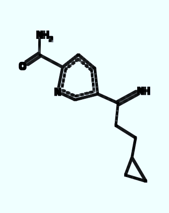 N=C(CCC1CC1)c1ccc(C(N)=O)nc1